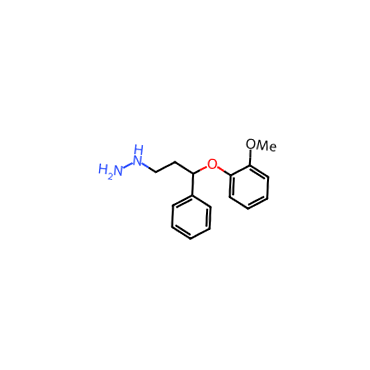 COc1ccccc1OC(CCNN)c1ccccc1